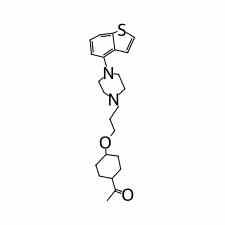 CC(=O)C1CCC(OCCCN2CCN(c3cccc4sccc34)CC2)CC1